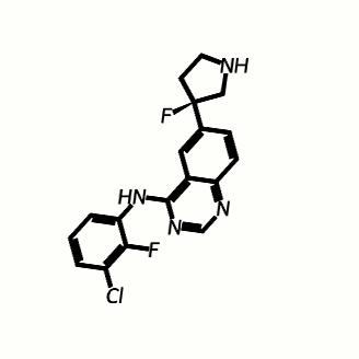 Fc1c(Cl)cccc1Nc1ncnc2ccc([C@]3(F)CCNC3)cc12